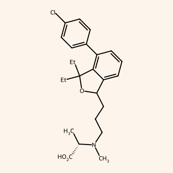 CCC1(CC)OC(CCCN(C)[C@@H](C)C(=O)O)c2cccc(-c3ccc(Cl)cc3)c21